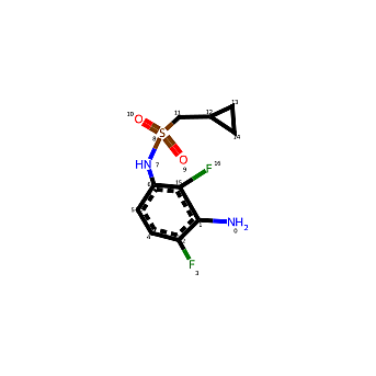 Nc1c(F)ccc(NS(=O)(=O)CC2CC2)c1F